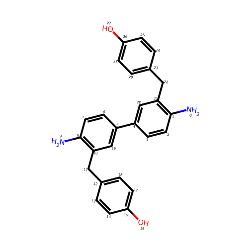 Nc1ccc(-c2ccc(N)c(Cc3ccc(O)cc3)c2)cc1Cc1ccc(O)cc1